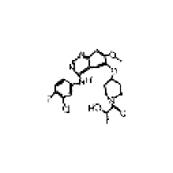 COc1cc2ncnc(Nc3ccc(F)c(Cl)c3)c2cc1OC1CCN(C(=O)C(C)O)CC1